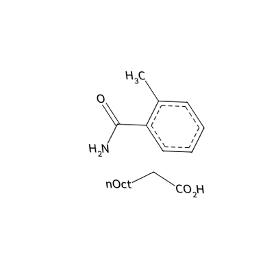 CCCCCCCCCC(=O)O.Cc1ccccc1C(N)=O